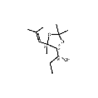 CC[C@@H](O)[C@H]1OC(C)(C)O[C@@]1(C)C=C(C)C